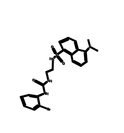 CN(C)c1cccc2c(S(=O)(=O)NCCNC(=O)Nc3ccccc3Br)cccc12